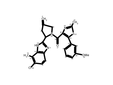 C=C1CC(c2nc3ccc(Cl)c(C)c3[nH]2)N(C(=O)c2nc(C)sc2-c2cccc(OC)c2)C1